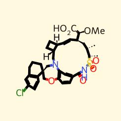 CO[C@H](C(=O)O)[C@@H]1/C=C/[C@@H]2CC[C@H]2CN2C[C@@]3(CCCc4cc(Cl)ccc43)COc3ccc(cc32)C(=O)NS(=O)(=O)[C@@H](C)[C@@H](C)C1